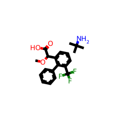 CC(C)(C)N.COC(C(=O)O)c1cccc(C(F)(F)F)c1-c1ccccc1